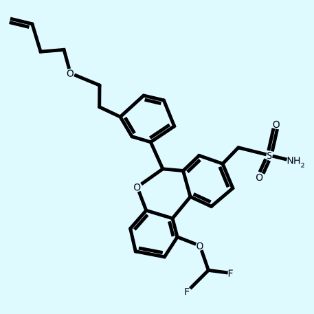 C=CCCOCCc1cccc(C2Oc3cccc(OC(F)F)c3-c3ccc(CS(N)(=O)=O)cc32)c1